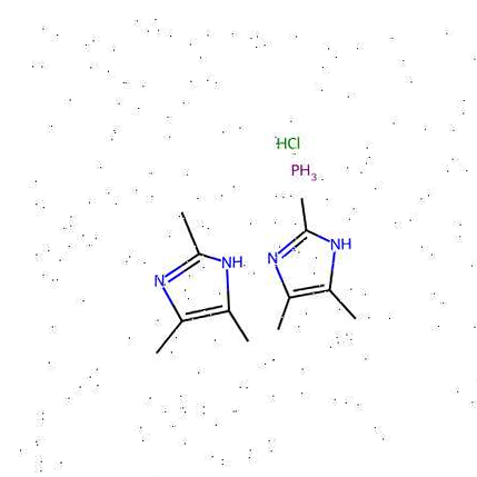 Cc1nc(C)c(C)[nH]1.Cc1nc(C)c(C)[nH]1.Cl.P